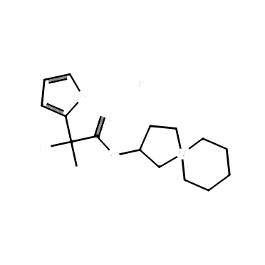 CC(O)(C(=O)OC1CC[N+]2(CCCCC2)C1)c1ccco1.[Br-]